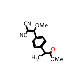 COC(=O)C(C)c1ccc(C(OC)=C(C#N)C#N)cc1